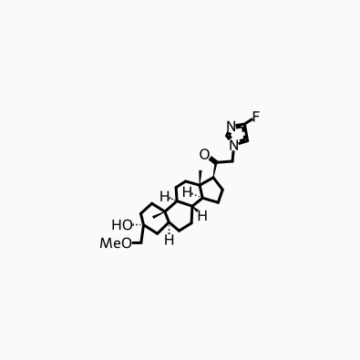 COC[C@@]1(O)CC[C@@]2(C)[C@@H](CC[C@@H]3[C@@H]2CC[C@]2(C)[C@@H](C(=O)Cn4cnc(F)c4)CC[C@@H]32)C1